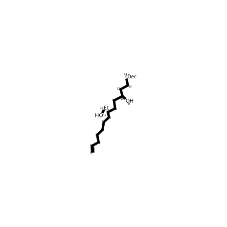 C=CCCCCCCCCC(O)CCCCCCCCCCCC.CCO